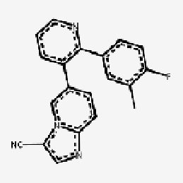 Cc1cc(-c2ncccc2-c2ccc3ncc(C#N)n3c2)ccc1F